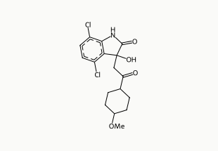 COC1CCC(C(=O)CC2(O)C(=O)Nc3c(Cl)ccc(Cl)c32)CC1